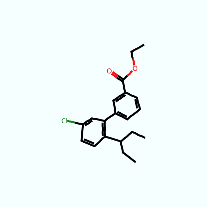 CCOC(=O)c1cccc(-c2cc(Cl)ccc2C(CC)CC)c1